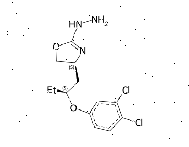 CC[C@@H](C[C@H]1COC(NN)=N1)Oc1ccc(Cl)c(Cl)c1